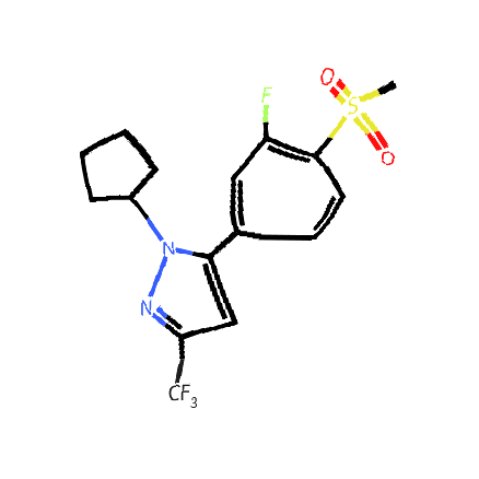 CS(=O)(=O)c1ccc(-c2cc(C(F)(F)F)nn2C2CCCC2)cc1F